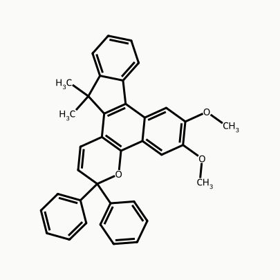 COc1cc2c3c(c4c(c2cc1OC)-c1ccccc1C4(C)C)C=CC(c1ccccc1)(c1ccccc1)O3